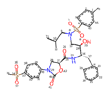 Cc1ccc(S(=O)(=O)N(CC(C)C)C[C@@H](O)[C@H](Cc2ccccc2)NC(=O)[C@@H]2CN(c3ccc(S(C)(=O)=O)cc3)C(=O)O2)cc1